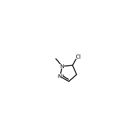 CN1[N+]=CCC1Cl